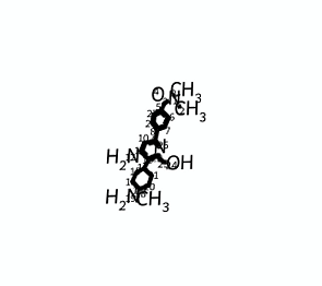 CN(C)C(=O)c1ccc(-c2cc(N)c(C3CCC(C)(N)CC3)c(CO)n2)cc1